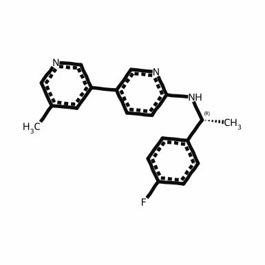 Cc1cncc(-c2ccc(N[C@H](C)c3ccc(F)cc3)nc2)c1